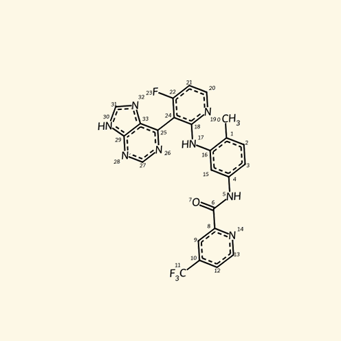 Cc1ccc(NC(=O)c2cc(C(F)(F)F)ccn2)cc1Nc1nccc(F)c1-c1ncnc2[nH]cnc12